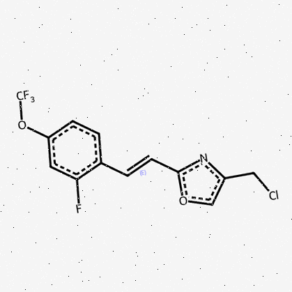 Fc1cc(OC(F)(F)F)ccc1/C=C/c1nc(CCl)co1